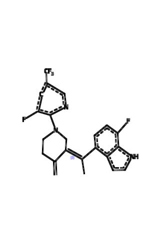 C=C1CCN(c2ncc(C(F)(F)F)cc2F)C/C1=C(/C)c1ccc(F)c2[nH]ccc12